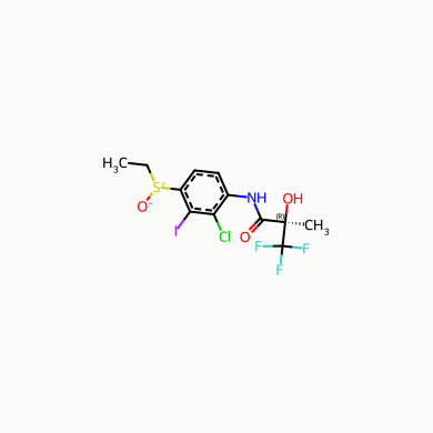 CC[S+]([O-])c1ccc(NC(=O)[C@@](C)(O)C(F)(F)F)c(Cl)c1I